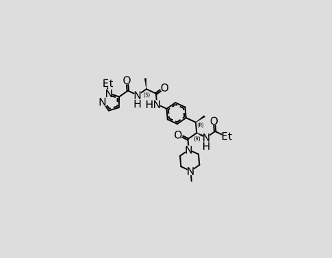 CCC(=O)N[C@@H](C(=O)N1CCN(C)CC1)[C@H](C)c1ccc(NC(=O)[C@H](C)NC(=O)c2ccnn2CC)cc1